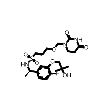 C[C@@H](NS(=O)(=O)/C=C/COCN1CCC(=O)NC1=O)c1ccc(F)c(OCC(C)(C)O)c1